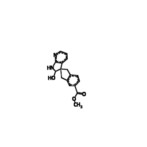 COC(=O)c1ccc2c(c1)CC1(C2)c2cccnc2NC1O